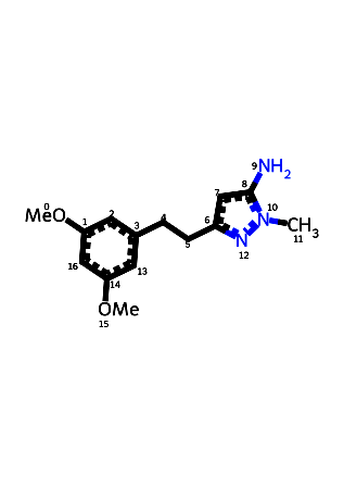 COc1cc(CCc2cc(N)n(C)n2)cc(OC)c1